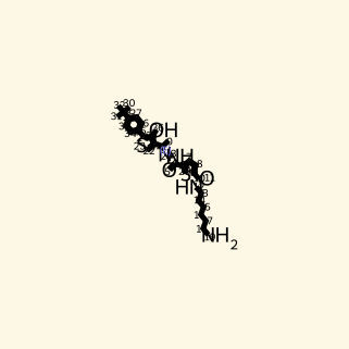 C/C(=N\NC(=O)c1ccc(C(=O)NCCCCCCN)s1)c1csc(-c2ccc(C(C)(C)C)cc2)c1O